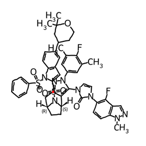 Cc1cc(-n2nc3c(c2-n2ccn(-c4ccc5c(cnn5C)c4F)c2=O)[C@@H]2CC[C@H](C3)N2S(=O)(=O)c2cc3cc(C4CCOC(C)(C)C4)ccc3n2S(=O)(=O)c2ccccc2)cc(C)c1F